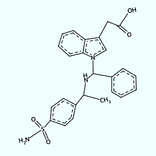 CC(NC(c1ccccc1)n1cc(CC(=O)O)c2ccccc21)c1ccc(S(N)(=O)=O)cc1